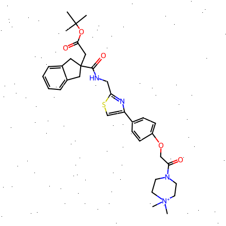 CC(C)(C)OC(=O)CC1(C(=O)NCc2nc(-c3ccc(OCC(=O)N4CC[N+](C)(C)CC4)cc3)cs2)Cc2ccccc2C1